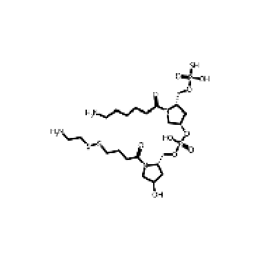 NCCCCCC(=O)N1C[C@H](OP(=O)(O)OC[C@@H]2C[C@@H](O)CN2C(=O)CCCSSCCN)C[C@H]1COP(=O)(O)S